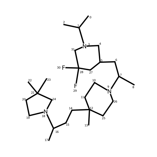 CC(C)N1CC(CC(C)N2CCC(C)(CCC(C)N3CCC(C)(C)C3)CC2)CC(F)(F)C1